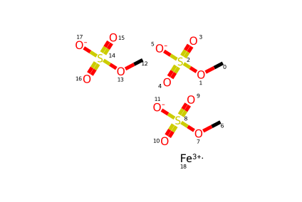 COS(=O)(=O)[O-].COS(=O)(=O)[O-].COS(=O)(=O)[O-].[Fe+3]